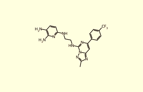 Cc1nc2cc(-c3ccc(C(F)(F)F)cc3)nc(NCCNc3ccc(N)c(N)n3)n2n1